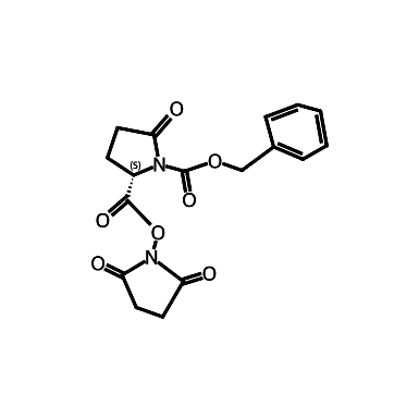 O=C(ON1C(=O)CCC1=O)[C@@H]1CCC(=O)N1C(=O)OCc1ccccc1